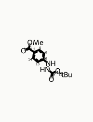 COC(=O)c1ccc(NNC(=O)OC(C)(C)C)cc1